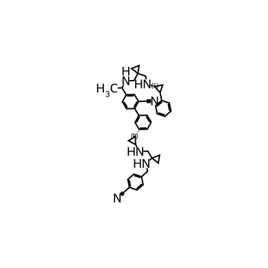 CC(NCC1(CN[C@H]2CC2c2ccccc2)CC1)c1ccc(-c2cccc([C@H]3CC3NCC3(NCc4ccc(C#N)cc4)CC3)c2)c(C#N)c1